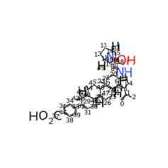 C=C(C)[C@@H]1CC[C@]2(NCCN3[C@@H]4CC[C@H]3C[C@@](C)(O)C4)CC[C@]3(C)[C@H](CC[C@@H]4[C@@]5(C)CC=C(c6ccc(C(=O)O)cc6)C(C)(C)[C@@H]5CC[C@]43C)[C@@H]12